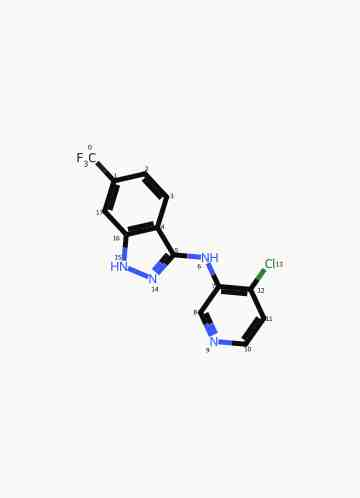 FC(F)(F)c1ccc2c(Nc3cnccc3Cl)n[nH]c2c1